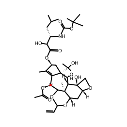 C=CC1O[C@H]2C[C@H]3OC[C@@]3(O)[C@H]3[C@H](O)[C@]4(C(C)(C)O)C[C@H](OC(=O)C(O)[C@H](CC(C)C)NC(=O)OC(C)(C)C)C(C)=C4[C@H](OC(C)=O)[C@H](O1)[C@]23C